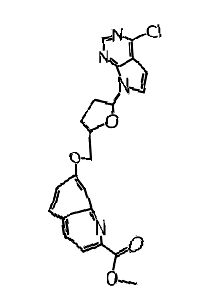 COC(=O)c1ccc2ccc(OCC3CCC(n4ccc5c(Cl)ncnc54)O3)cc2n1